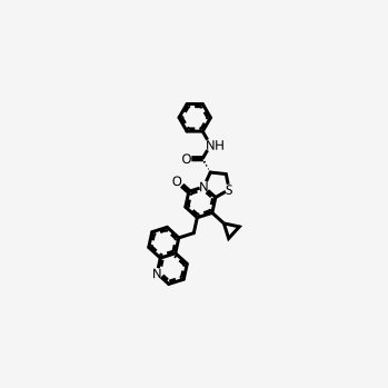 O=C(Nc1ccccc1)[C@@H]1CSc2c(C3CC3)c(Cc3cccc4ncccc34)cc(=O)n21